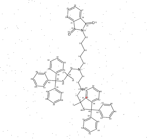 CC(C)(CNCCN(CCCCCN1C(=O)c2ccccc2C1=O)CC(C)(C)SC(c1ccccc1)(c1ccccc1)c1ccccc1)SC(c1ccccc1)(c1ccccc1)c1ccccc1